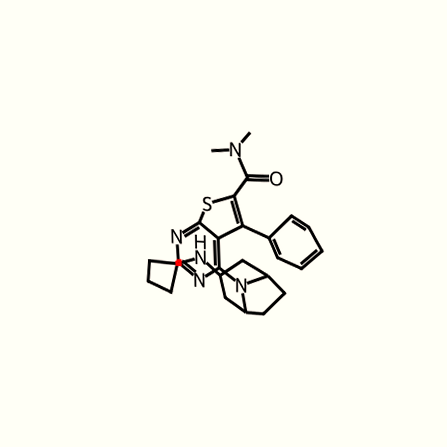 CN(C)C(=O)c1sc2ncnc(N3C4CCC3CC(NC3CCC3)C4)c2c1-c1ccccc1